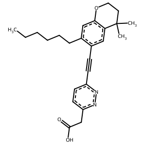 CCCCCCc1cc2c(cc1C#Cc1ccc(CC(=O)O)nn1)C(C)(C)CCO2